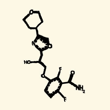 NC(=O)c1c(F)ccc(OCC(O)c2nc(C3CCOCC3)co2)c1F